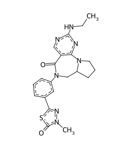 CCNc1ncc2c(n1)N1CCCC1CN(c1cccc(-c3nn(C)c(=O)s3)c1)C2=O